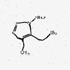 CCCCn1nnc(C)c1CC(C)(C)C